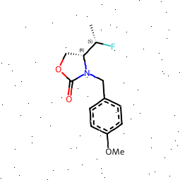 COc1ccc(CN2C(=O)OC[C@@H]2[C@H](C)F)cc1